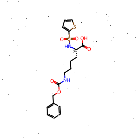 O=C(NCCCC[C@H](NS(=O)(=O)c1cccs1)C(=O)O)OCc1ccccc1